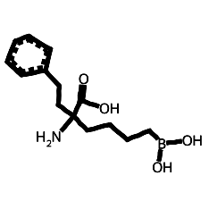 NC(CCCCB(O)O)(CCc1ccccc1)C(=O)O